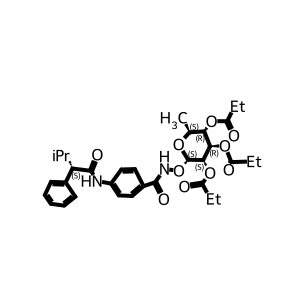 CCC(=O)O[C@H]1[C@H](OC(=O)CC)[C@H](ONC(=O)c2ccc(NC(=O)[C@H](c3ccccc3)C(C)C)cc2)O[C@@H](C)[C@H]1OC(=O)CC